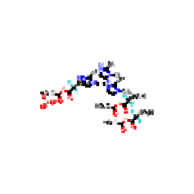 CCc1[nH]cc[n+]1C.CCc1[nH]cc[n+]1C.CCc1[nH]cc[n+]1C.O=C(O)C(=O)OC(=O)C(F)(F)S(=O)(=O)O.O=C(O)C(=O)OC(=O)C(F)(F)S(=O)(=O)O.O=C(O)C(=O)OC(=O)C(F)(F)S(=O)(=O)O.[O-]B([O-])[O-]